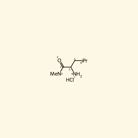 CNC(=O)C(N)CC(C)C.Cl